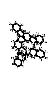 c1ccc2cc(-c3nc(-n4c5ccccc5c5cc6c7ccccc7n7c8ccc9ccccc9c8c(c54)c67)c4ccccc4n3)ccc2c1